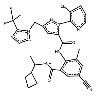 Cc1cc(C#N)cc(C(=O)NC(C)C2CCC2)c1NC(=O)c1cc(Cn2nnnc2C(F)(F)F)nn1-c1ncccc1Cl